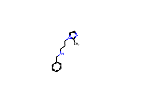 Cc1nccn1CCCNCc1ccccc1